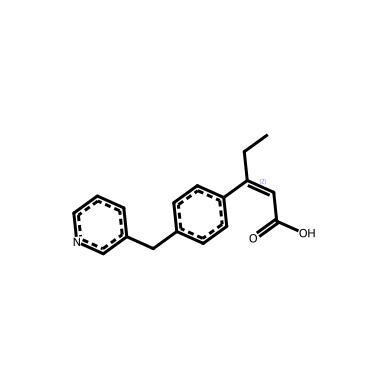 CC/C(=C/C(=O)O)c1ccc(Cc2cccnc2)cc1